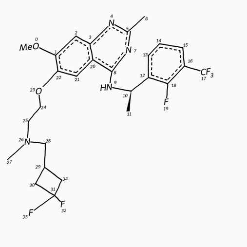 COc1cc2nc(C)nc(N[C@H](C)c3cccc(C(F)(F)F)c3F)c2cc1OCCN(C)CC1CC(F)(F)C1